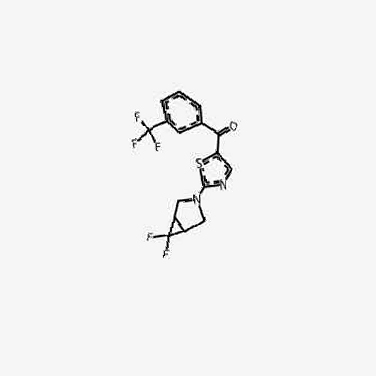 O=C(c1cccc(C(F)(F)F)c1)c1cnc(N2CC3C(C2)C3(F)F)s1